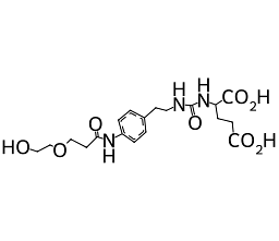 O=C(O)CCC(NC(=O)NCCc1ccc(NC(=O)CCOCCO)cc1)C(=O)O